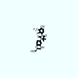 CC1(C)C(=O)N(c2ccc(C#N)c(C(F)(F)F)c2F)C(=S)N1c1ccc2c(c1)NC[C@@H](CO)O2